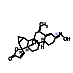 C=C1CC2C(CC[C@@]3(CC)C2C2CC2[C@@]32C=CC(=O)O2)[C@H]2CC/C(=N\O)C=C12